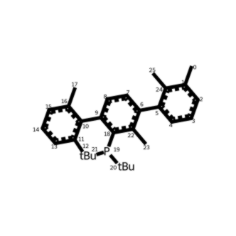 Cc1cccc(-c2ccc(-c3c(C)cccc3C)c(P(C(C)(C)C)C(C)(C)C)c2C)c1C